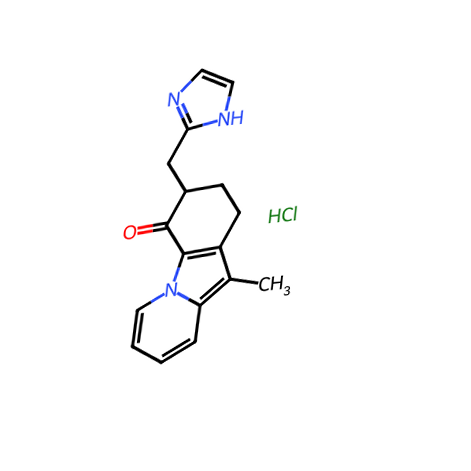 Cc1c2c(n3ccccc13)C(=O)C(Cc1ncc[nH]1)CC2.Cl